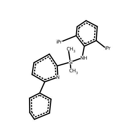 CC(C)c1cccc(C(C)C)c1N[Si](C)(C)c1cccc(-c2ccccc2)n1